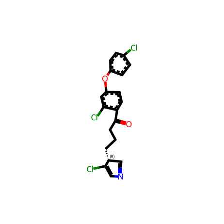 O=C(CCC[C@@H]1C=NC=C1Cl)c1ccc(Oc2ccc(Cl)cc2)cc1Cl